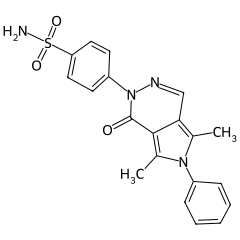 Cc1c2cnn(-c3ccc(S(N)(=O)=O)cc3)c(=O)c2c(C)n1-c1ccccc1